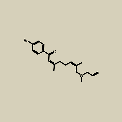 C=CCN(C)CC(C)=CCCC(C)=CC(=O)c1ccc(Br)cc1